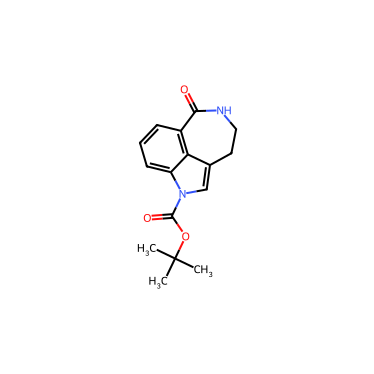 CC(C)(C)OC(=O)n1cc2c3c(cccc31)C(=O)NCC2